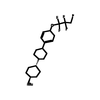 CCCC[C@H]1CC[C@H](C2CCC(C3=CCC(OC(F)(F)C(F)(F)CF)C=C3)CC2)CC1